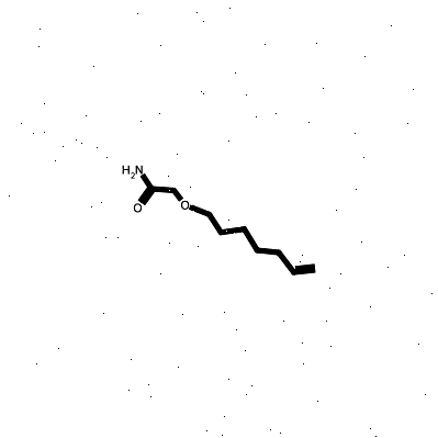 C=CCCCCCOCC(N)=O